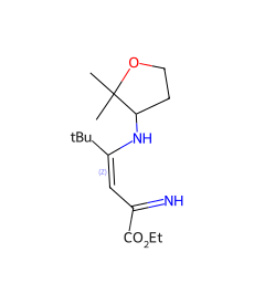 CCOC(=O)C(=N)/C=C(\NC1CCOC1(C)C)C(C)(C)C